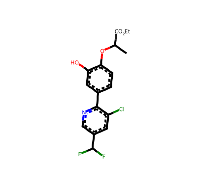 CCOC(=O)C(C)Oc1ccc(-c2ncc(C(F)F)cc2Cl)cc1O